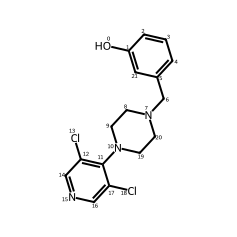 Oc1cccc(CN2CCN(c3c(Cl)cncc3Cl)CC2)c1